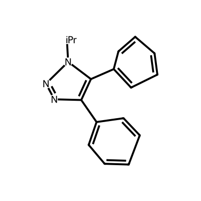 CC(C)n1nnc(-c2ccccc2)c1-c1ccccc1